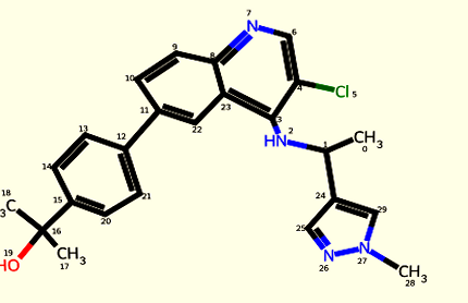 CC(Nc1c(Cl)cnc2ccc(-c3ccc(C(C)(C)O)cc3)cc12)c1cnn(C)c1